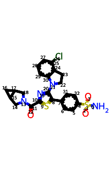 NS(=O)(=O)c1ccc(-c2sc(C(=O)N3CC4CC4C3)nc2N2CCc3c(Cl)cccc32)cc1